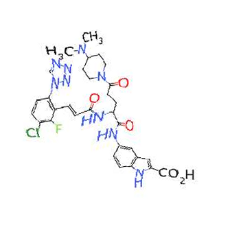 CN(C)C1CCN(C(=O)CCC(NC(=O)C=Cc2c(-n3cnnn3)ccc(Cl)c2F)C(=O)Nc2ccc3[nH]c(C(=O)O)cc3c2)CC1